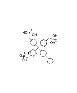 O=P(O)(O)Cc1ccc(C(c2ccc(CP(=O)(O)O)cc2)(c2ccc(CP(=O)(O)O)cc2)c2ccc(C3CCCC3)cc2)cc1